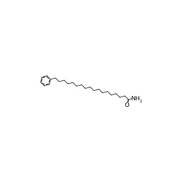 NC(=O)CCCCCCCCCCCCCCCCCc1ccccc1